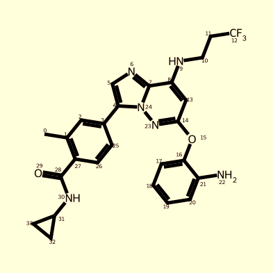 Cc1cc(-c2cnc3c(NCCC(F)(F)F)cc(Oc4ccccc4N)nn23)ccc1C(=O)NC1CC1